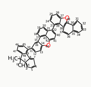 CC1(C)c2ccccc2-c2c(-c3ccc4c(c3)-c3cccc5c(-c6cccc7oc8c9ccccc9ccc8c67)ccc(c35)O4)cccc21